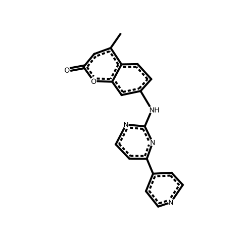 Cc1cc(=O)oc2cc(Nc3nccc(-c4ccncc4)n3)ccc12